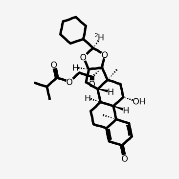 [2H][C@@]1(C2CCCCC2)O[C@@H]2C[C@H]3[C@@H]4CCC5=CC(=O)C=C[C@]5(C)[C@H]4[C@@H](O)C[C@]3(C)[C@]2(C(=O)COC(=O)C(C)C)O1